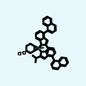 CC(C)C1=Cc2c(-c3cccc4ccccc34)cccc2[CH]1[Zr+2]1([CH]2C(C(C)C)=Cc3c(-c4cccc5ccccc45)cccc32)[CH]2CCCC[CH]21.[Cl-].[Cl-]